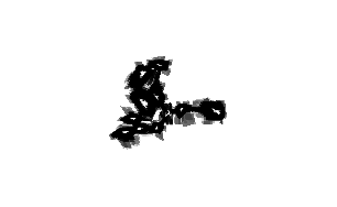 c1ccc(-c2ccc(-c3nc(-c4ccccc4)nc(-c4ccc(-n5c6ccccc6c6cccc(-c7ccc8oc9c(-c%10cccc%11ccccc%10%11)cccc9c8c7)c65)cc4)n3)cc2)cc1